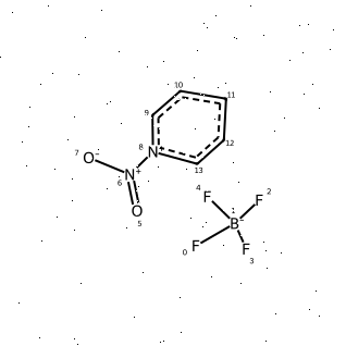 F[B-](F)(F)F.O=[N+]([O-])[n+]1ccccc1